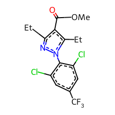 CCc1nn(-c2c(Cl)cc(C(F)(F)F)cc2Cl)c(CC)c1C(=O)OC